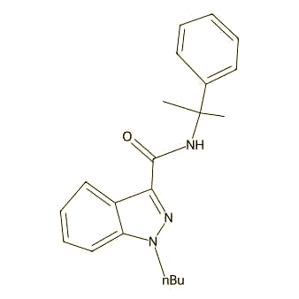 CCCCn1nc(C(=O)NC(C)(C)c2ccccc2)c2ccccc21